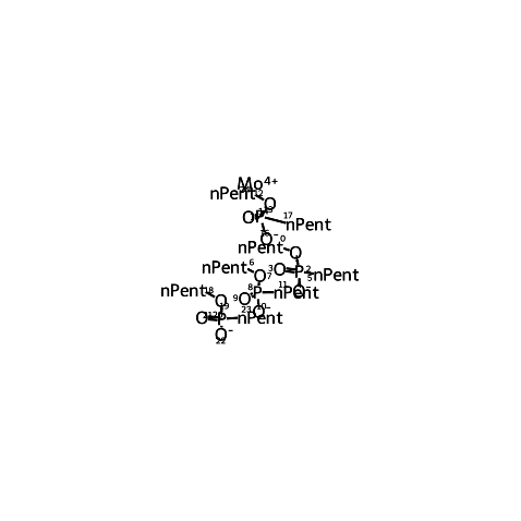 CCCCCOP(=O)([O-])CCCCC.CCCCCOP(=O)([O-])CCCCC.CCCCCOP(=O)([O-])CCCCC.CCCCCOP(=O)([O-])CCCCC.[Mo+4]